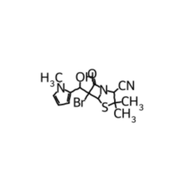 Cn1cccc1C(O)C1(Br)C(=O)N2C(C#N)C(C)(C)SC21